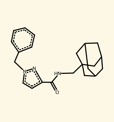 O=C(NCC12CC3CC(CC(C3)C1)C2)c1ccn(Cc2ccccc2)n1